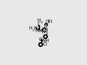 C/C=C/C(=N\N)Nc1cc(N2CC(OCC)C2)nc(Sc2ccc(NC(=O)c3ccccc3Cl)cc2)n1